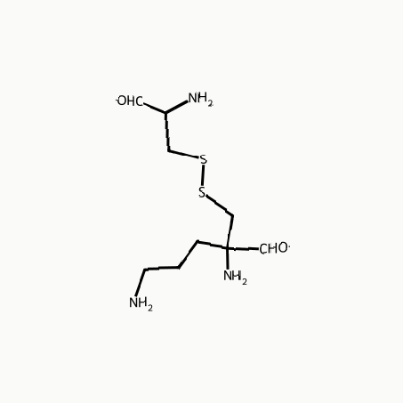 NCCCC(N)([C]=O)CSSCC(N)[C]=O